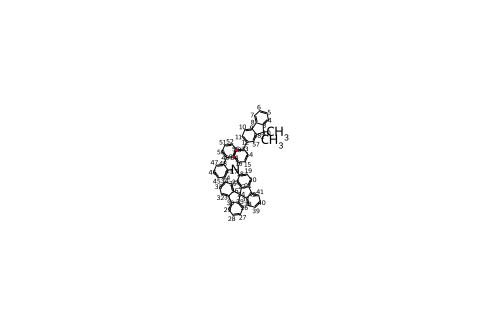 CC1(C)c2ccccc2-c2ccc(-c3ccc(N(c4ccc5c(c4)C4(c6ccccc6-c6ccccc64)c4ccccc4-5)c4ccccc4-c4ccccc4)cc3)cc21